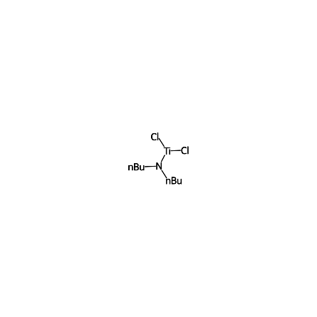 CCCC[N](CCCC)[Ti]([Cl])[Cl]